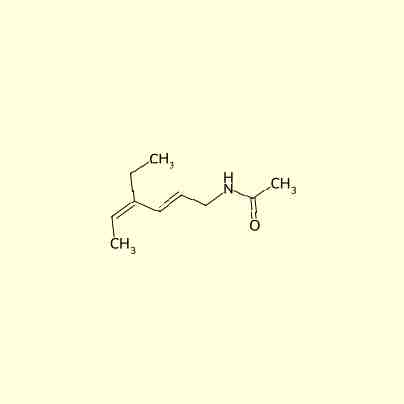 CC=C(C=CCNC(C)=O)CC